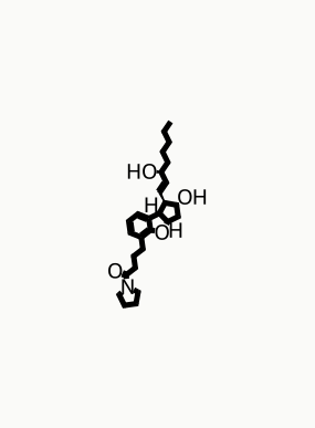 CCCCC[C@H](O)/C=C/[C@@H]1[C@H]2c3cccc(CCCC(=O)N4CCCC4)c3O[C@H]2C[C@H]1O